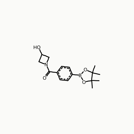 CC1(C)OB(c2ccc(C(=O)N3CC(O)C3)cc2)OC1(C)C